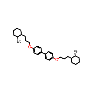 CCC1CCCCC1CCCOc1ccc(-c2ccc(OCCCC3CCCCC3CC)cc2)cc1